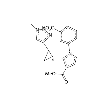 COC(=O)c1ccn(-c2cccc(C(=O)O)c2)c1[C@@H]1CC1c1cn(C)nn1